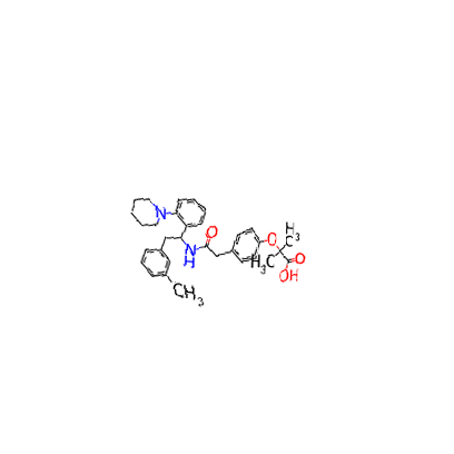 Cc1cccc(CC(NC(=O)Cc2ccc(OC(C)(C)C(=O)O)cc2)c2ccccc2N2CCCCC2)c1